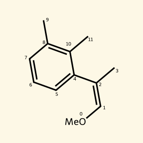 CO/C=C(/C)c1cccc(C)c1C